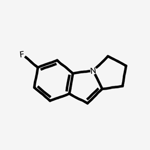 Fc1ccc2cc3n(c2c1)CCC3